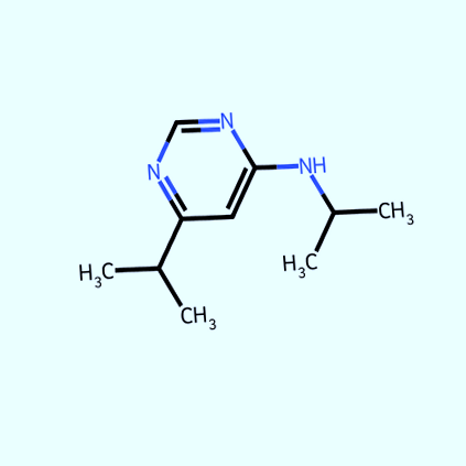 CC(C)Nc1cc(C(C)C)ncn1